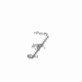 CCCCC/C=C\C/C=C\CCCCCCCCOCC(COCCCCCCCC/C=C\C/C=C\CCCCC)C(C)(C)O